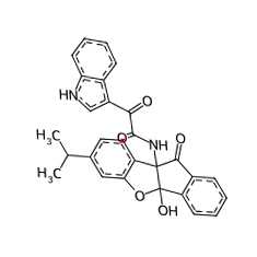 CC(C)c1ccc2c(c1)OC1(O)c3ccccc3C(=O)C21NC(=O)C(=O)c1c[nH]c2ccccc12